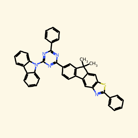 CC1(C)c2cc(-c3nc(-c4ccccc4)nc(-n4c5ccccc5c5ccccc54)n3)ccc2-c2cc3nc(-c4ccccc4)sc3cc21